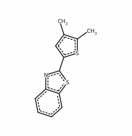 Cc1cc(-c2nc3ccccc3s2)sc1C